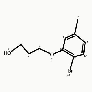 OCCCOc1cc(I)ccc1Br